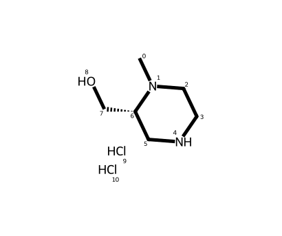 CN1CCNC[C@@H]1CO.Cl.Cl